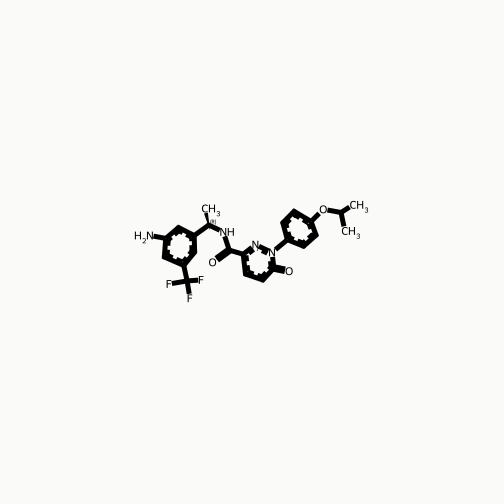 CC(C)Oc1ccc(-n2nc(C(=O)N[C@H](C)c3cc(N)cc(C(F)(F)F)c3)ccc2=O)cc1